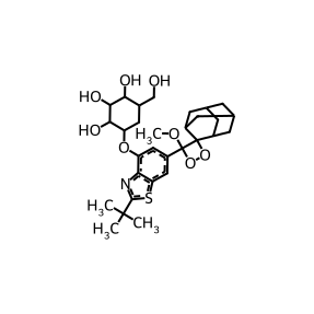 COC1(c2cc(OC3CC(CO)C(O)C(O)C3O)c3nc(C(C)(C)C)sc3c2)OOC12C1CC3CC(C1)CC2C3